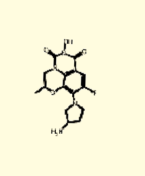 CC1Cn2c(=O)n(O)c(=O)c3cc(F)c(N4CCC(N)C4)c(c32)O1